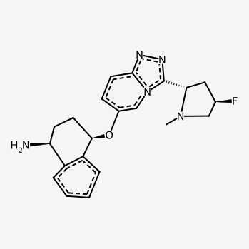 CN1C[C@H](F)C[C@H]1c1nnc2ccc(O[C@@H]3CC[C@H](N)c4ccccc43)cn12